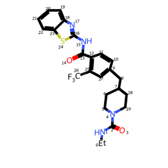 CCNC(=O)N1CCC(Cc2ccc(C(=O)Nc3nc4ccccc4s3)c(C(F)(F)F)c2)CC1